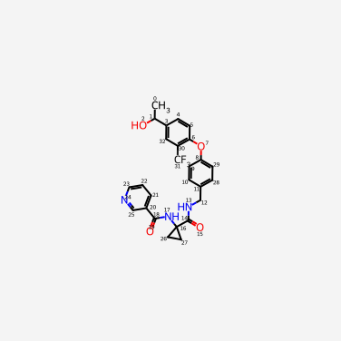 CC(O)c1ccc(Oc2ccc(CNC(=O)C3(NC(=O)c4cccnc4)CC3)cc2)c(C(F)(F)F)c1